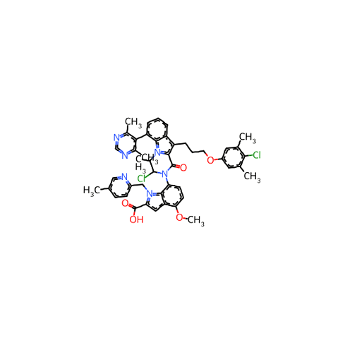 COc1ccc(N2C(=O)c3c(CCCOc4cc(C)c(Cl)c(C)c4)c4cccc(-c5c(C)ncnc5C)c4n3C(C)C2Cl)c2c1cc(C(=O)O)n2Cc1ccc(C)cn1